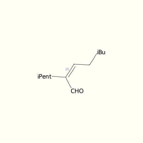 CCCC(C)/C(C=O)=C/CC(C)CC